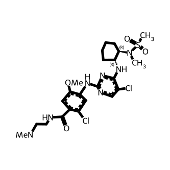 CNCCNC(=O)c1cc(OC)c(Nc2ncc(Cl)c(N[C@@H]3CCCC[C@H]3N(C)S(C)(=O)=O)n2)cc1Cl